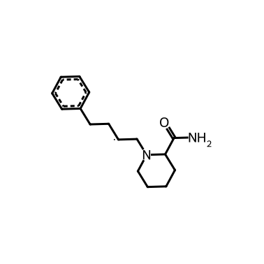 NC(=O)C1CCCCN1C[CH]CCc1ccccc1